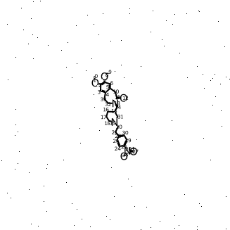 COc1cc2c(cc1OC)CC(=O)N(CC1CCCN(CCc3ccc([N+](=O)[O-])cc3)C1)CC2